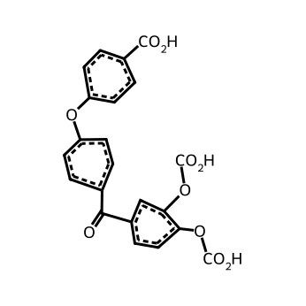 O=C(O)Oc1ccc(C(=O)c2ccc(Oc3ccc(C(=O)O)cc3)cc2)cc1OC(=O)O